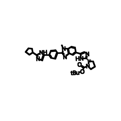 Cn1c(-c2ccc(-c3cnc(C4CCCC4)[nH]3)cc2)nc2cc(-c3cnc([C@@H]4CCCN4C(=O)OC(C)(C)C)[nH]3)ccc21